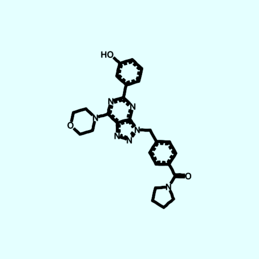 O=C(c1ccc(Cn2nnc3c(N4CCOCC4)nc(-c4cccc(O)c4)nc32)cc1)N1CCCC1